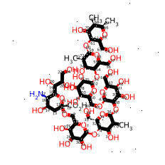 CC1C(O)[C@H](O[C@@H]2OC(CO[C@]3(C(=O)O)C[C@@H](O)[C@@H](N)C([C@H](O)[C@H](O)CO)O3)[C@H](O)C(O)C2O)[C@H](CO)O[C@H]1OC1C(O)[C@H](O)C(CO)O[C@@H]1OCC1O[C@@H](O[C@@H]2C(CO)O[C@@H](O[C@@H]3C(CO)O[C@@H](C)[C@@H](C)C3O)[C@@H](C)C2O)[C@H](O)C(O)[C@@H]1O